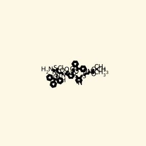 CC(C)(C)OC(=O)NCCSCc1cnccc1SC1=C(C(=O)OC(c2ccccc2)c2ccccc2)N2C(=O)[C@H](NC(=O)C(=NOC(c3ccccc3)(c3ccccc3)c3ccccc3)c3nc(N)sc3Cl)C2CC1